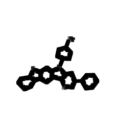 CC(C)c1ccc(-n2c3cc4sc5ccccc5c4cc3c3ncc(-c4ccccc4)cc32)cc1